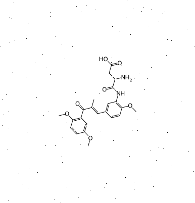 COc1ccc(OC)c(C(=O)C(C)=Cc2ccc(OC)c(NC(=O)C(N)CC(=O)O)c2)c1